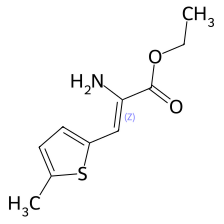 CCOC(=O)/C(N)=C/c1ccc(C)s1